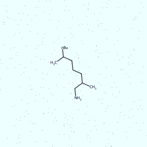 CCCCC(C)CCCC(C)CN